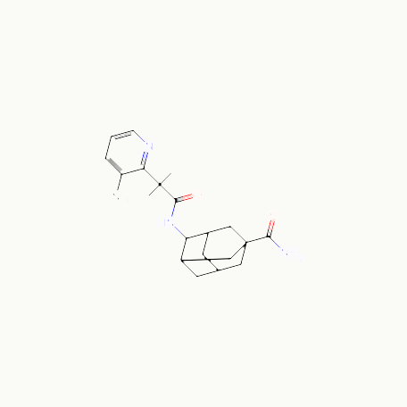 CC(C)(C(=O)NC1C2CC3CC1CC(C(N)=O)(C3)C2)c1ncccc1C#N